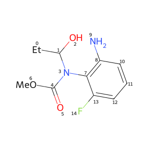 CCC(O)N(C(=O)OC)c1c(N)cccc1F